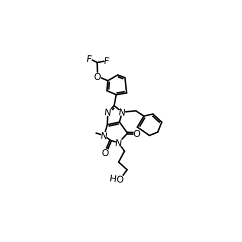 Cn1c(=O)n(CCCO)c(=O)c2c1nc(-c1cccc(OC(F)F)c1)n2CC1=CCCC=C1